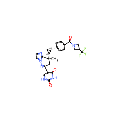 CC1([C@H]2C[C@@H]2c2ccc(C(=O)N3CC(C(F)(F)F)C3)cc2)CC(c2c[nH]c(=O)[nH]c2=O)=Nn2ccnc21